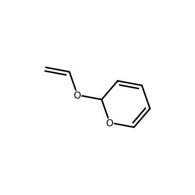 C=COC1C=CC=CO1